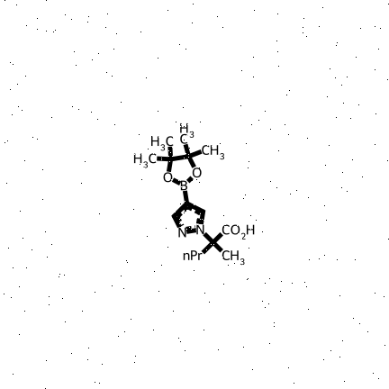 CCCC(C)(C(=O)O)n1cc(B2OC(C)(C)C(C)(C)O2)cn1